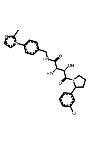 Cc1nccn1-c1ccc(CNC(=O)[C@H](O)[C@@H](O)C(=O)N2CCCC2c2cccc(Cl)c2)cc1